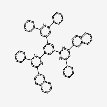 c1ccc(-c2cc(-c3cc(-c4nc(-c5ccccc5)cc(-c5ccc6ccccc6c5)n4)cc(-c4nc(-c5ccccc5)cc(-c5ccc6ccccc6c5)n4)c3)cc(-c3ccccc3)n2)cc1